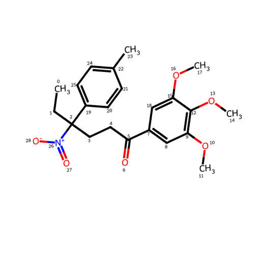 CCC(CCC(=O)c1cc(OC)c(OC)c(OC)c1)(c1ccc(C)cc1)[N+](=O)[O-]